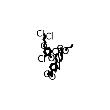 CCCOC(=O)N1CCN(c2ccc([N+](=O)[O-])cn2)C(Oc2c(Cl)cc(OCC=C(Cl)Cl)cc2Cl)C1